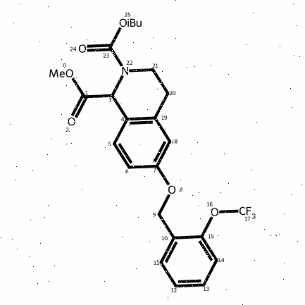 COC(=O)C1c2ccc(OCc3ccccc3OC(F)(F)F)cc2CCN1C(=O)OCC(C)C